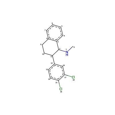 CNC1c2ccccc2CCC1c1ccc(Cl)c(Cl)c1